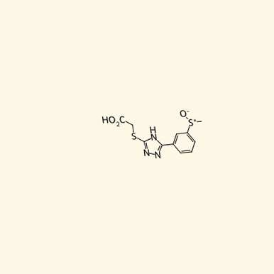 C[S+]([O-])c1cccc(-c2nnc(SCC(=O)O)[nH]2)c1